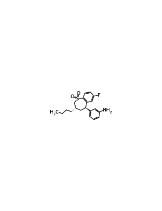 CCCC[C@H]1C[C@H](c2cccc(N)c2)c2cc(F)ccc2S(=O)(=O)C1